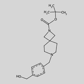 CC(C)(C)OC(=O)N1CC2(CCN(Cc3ccc(CO)cc3)CC2)C1